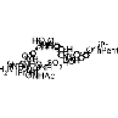 CCCCCC(CCOc1ccc2c(c1)[C@@]1(C)CCC[C@](C)(C(=O)NC(=O)[C@@]3(C)CCC[C@]4(C)c5cc(NC(=O)[C@H](CO)NC(=O)OCc6ccc(NC(=O)[C@H](CCCNC(N)=O)NC(=O)[C@@H](NC(=O)[C@@H](CCC(=O)NCCS(=O)(=O)O)NC(C)=O)C(C)C)cc6)ccc5CC[C@@H]34)[C@@H]1CC2)C(C)C